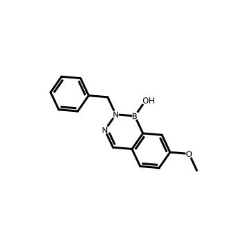 COc1ccc2c(c1)B(O)N(Cc1ccccc1)N=C2